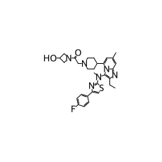 CCc1nc2cc(C)cc(C3CCN(CC(=O)N4CC(O)C4)CC3)n2c1N(C)c1nc(-c2ccc(F)cc2)cs1